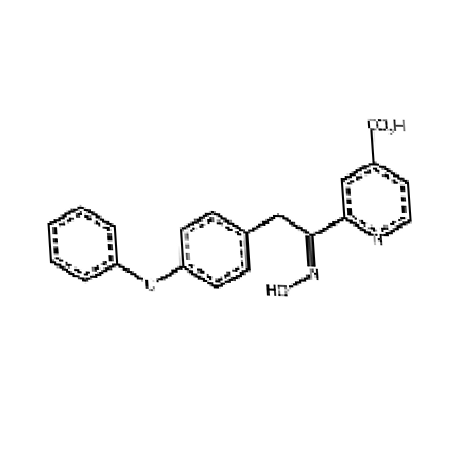 O=C(O)c1ccnc(/C(Cc2ccc(Oc3ccccc3)cc2)=N/O)c1